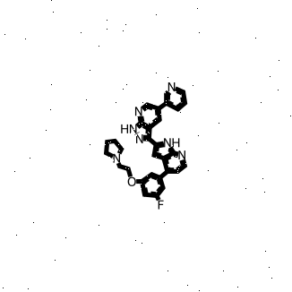 Fc1cc(OCCN2CCCC2)cc(-c2ccnc3[nH]c(-c4n[nH]c5ncc(-c6cccnc6)cc45)cc23)c1